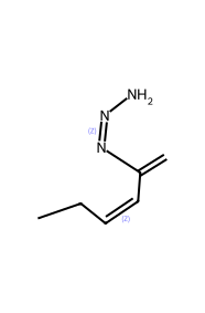 C=C(/C=C\CC)/N=N\N